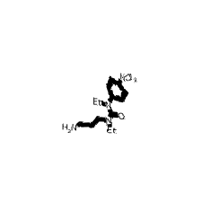 CCN(CCCN)C(=O)N(CC)c1ccc([N+](=O)[O-])cc1